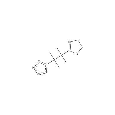 CC(C)(C1=NCCO1)C(C)(C)c1ccno1